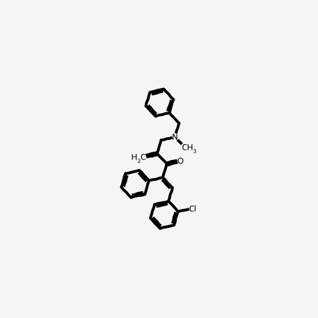 C=C(CN(C)Cc1ccccc1)C(=O)/C(=C/c1ccccc1Cl)c1ccccc1